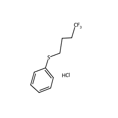 Cl.FC(F)(F)CCCSc1ccccc1